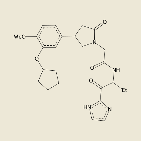 CCC(NC(=O)CN1CC(c2ccc(OC)c(OC3CCCC3)c2)CC1=O)C(=O)c1ncc[nH]1